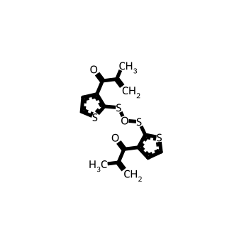 C=C(C)C(=O)c1ccsc1SOSc1sccc1C(=O)C(=C)C